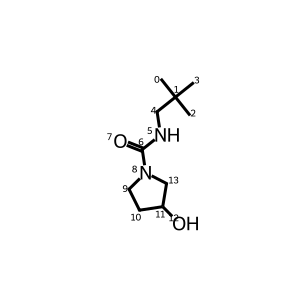 CC(C)(C)CNC(=O)N1CCC(O)C1